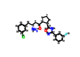 N[C@@H](CC(=O)C1CCC[C@H]1c1nc(-c2cccc(F)c2)no1)Cc1cccc(Cl)c1